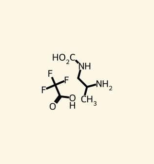 CC(N)CNC(=O)O.O=C(O)C(F)(F)F